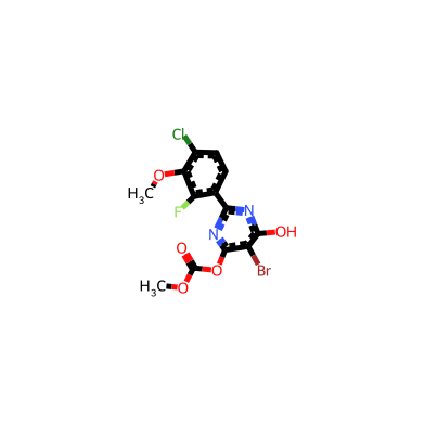 COC(=O)Oc1nc(-c2ccc(Cl)c(OC)c2F)nc(O)c1Br